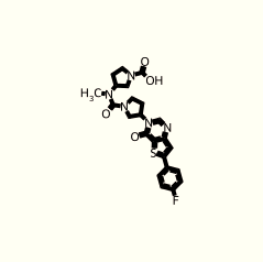 CN(C(=O)N1CCC(n2cnc3cc(-c4ccc(F)cc4)sc3c2=O)C1)C1CCN(C(=O)O)C1